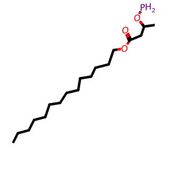 CCCCCCCCCCCCCCOC(=O)CC(C)OP